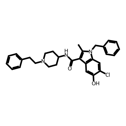 Cc1c(C(=O)NC2CCN(CCc3ccccc3)CC2)c2cc(O)c(Cl)cc2n1Cc1ccccc1